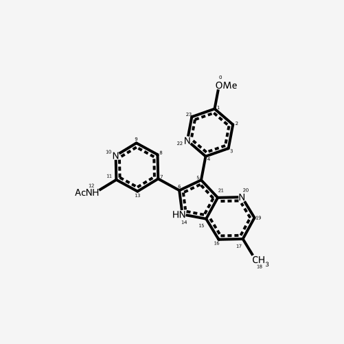 COc1ccc(-c2c(-c3ccnc(NC(C)=O)c3)[nH]c3cc(C)cnc23)nc1